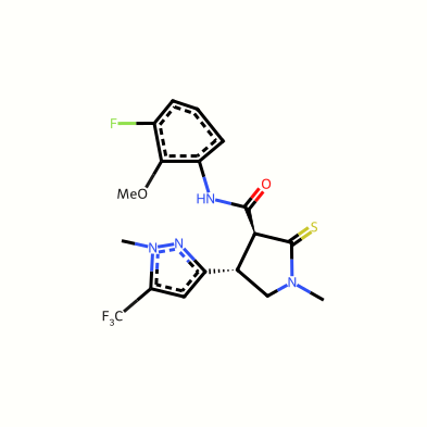 COc1c(F)cccc1NC(=O)[C@H]1C(=S)N(C)C[C@@H]1c1cc(C(F)(F)F)n(C)n1